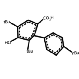 CCCCc1ccc(-c2c(C(=O)O)cc(C(C)(C)C)c(O)c2C(C)(C)C)cc1